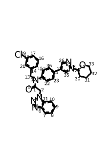 O=C(Cn1nnc2ccccc21)N(Cc1cccc(Cl)c1)c1ccc(-c2cnn(C3CCCCO3)c2)cc1